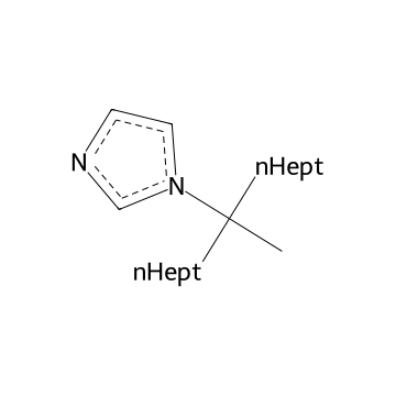 CCCCCCCC(C)(CCCCCCC)n1ccnc1